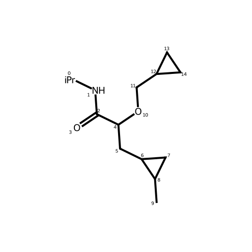 CC(C)NC(=O)C(CC1CC1C)OCC1CC1